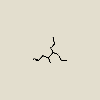 CCOC(OCC)C(C)CC=O